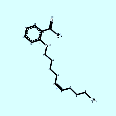 CCCC/C=C\CCCCOc1ccccc1C(N)=O